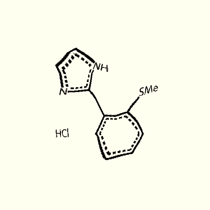 CSc1ccccc1-c1ncc[nH]1.Cl